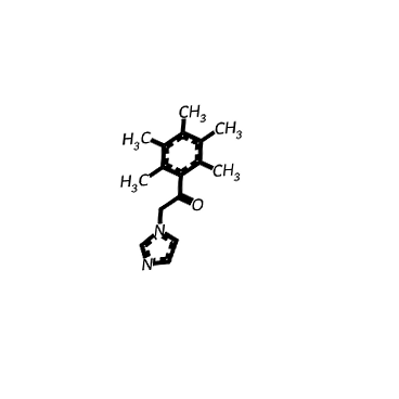 Cc1c(C)c(C)c(C(=O)Cn2ccnc2)c(C)c1C